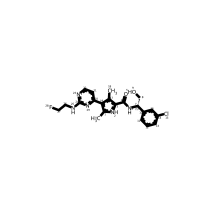 Cc1[nH]c(C(=O)N[C@H](CO)c2cccc(Cl)c2)c(C)c1-c1ccnc(NCCF)n1